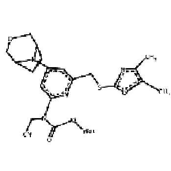 Cc1nc(SCc2cc(N3C4CCC3COC4)cc(N(CC#N)C(=O)OC(C)(C)C)n2)oc1C